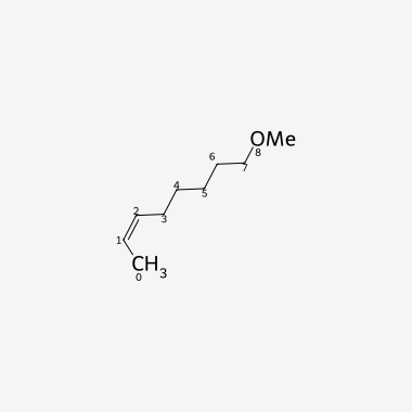 C/C=C\CCCCCOC